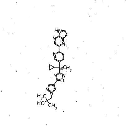 CC(C)(O)Cn1cc(-c2nc([C@@](C)(c3ccc(-c4cnc5[nH]ccc5n4)nc3)C3CC3)no2)cn1